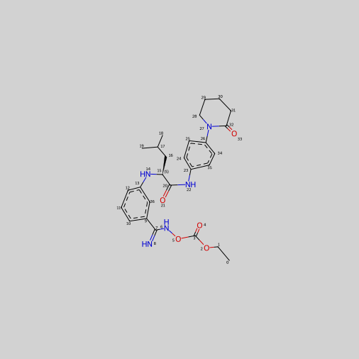 CCOC(=O)ONC(=N)c1cccc(N[C@@H](CC(C)C)C(=O)Nc2ccc(N3CCCCC3=O)cc2)c1